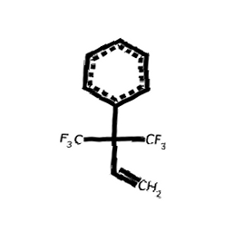 C=CC(c1ccccc1)(C(F)(F)F)C(F)(F)F